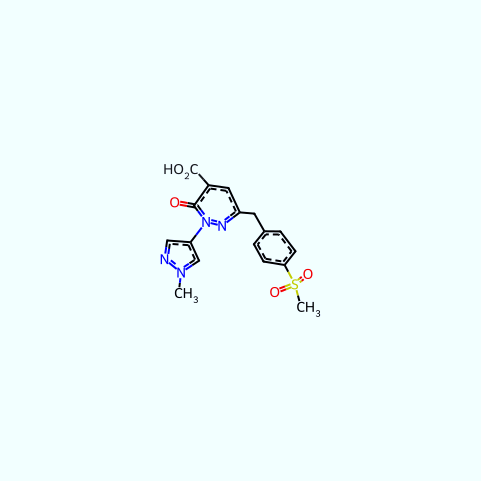 Cn1cc(-n2nc(Cc3ccc(S(C)(=O)=O)cc3)cc(C(=O)O)c2=O)cn1